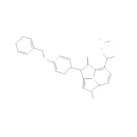 CCc1c(-c2ccc(OCc3ccccc3)cc2)c2cc(C(C)=O)c3ccc(C(O[SiH](C)C)C(C)(C)C)c1n32